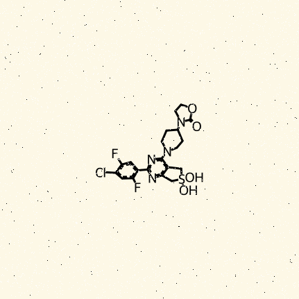 O=C1OCCN1C1CCN(c2nc(-c3cc(F)c(Cl)cc3F)nc3c2CS(O)(O)C3)CC1